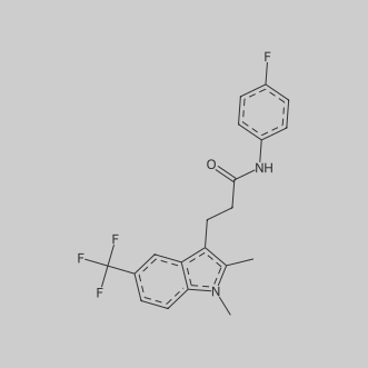 Cc1c(CCC(=O)Nc2ccc(F)cc2)c2cc(C(F)(F)F)ccc2n1C